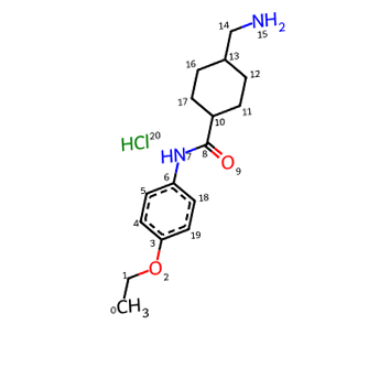 CCOc1ccc(NC(=O)C2CCC(CN)CC2)cc1.Cl